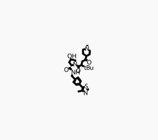 Cc1ncsc1-c1ccc(CNC(=O)[C@@H]2C[C@@H](O)CN2C(=O)C(CC(=O)C2CCN(C)CC2)C(C)(C)C)cc1